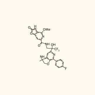 COc1nc(C(=O)NCC(O)(c2cc3c(c(-c4ccc(F)cc4)n2)OCC3(C)N)C(F)(F)F)cc2oc(=O)[nH]c12